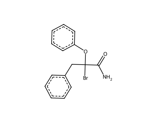 NC(=O)C(Br)(Cc1ccccc1)Oc1ccccc1